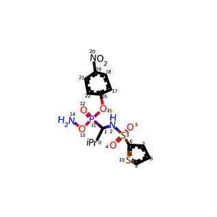 CC(C)C(NS(=O)(=O)c1cccs1)P(=O)(ON)Oc1ccc([N+](=O)[O-])cc1